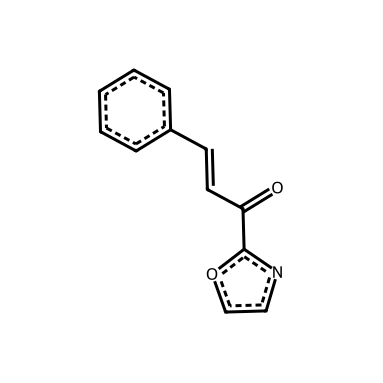 O=C(/C=C/c1ccccc1)c1ncco1